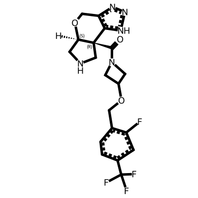 O=C(N1CC(OCc2ccc(C(F)(F)F)cc2F)C1)[C@@]12CNC[C@H]1OCc1nn[nH]c12